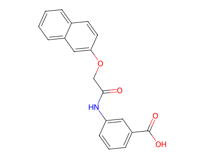 O=C(COc1ccc2ccccc2c1)Nc1cccc(C(=O)O)c1